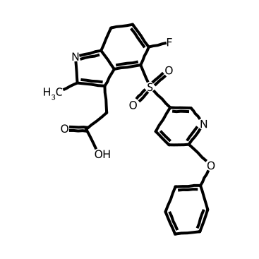 CC1=C(CC(=O)O)C2=C(S(=O)(=O)c3ccc(Oc4ccccc4)nc3)C(F)=CCC2=N1